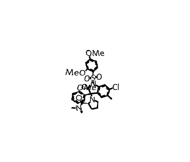 COc1ccc(S(=O)(=O)N2C(=O)C(c3ccccc3OC)(N3CCC[C@H]3C(=O)N(C)C)c3cc(C)c(Cl)cc32)c(OC)c1